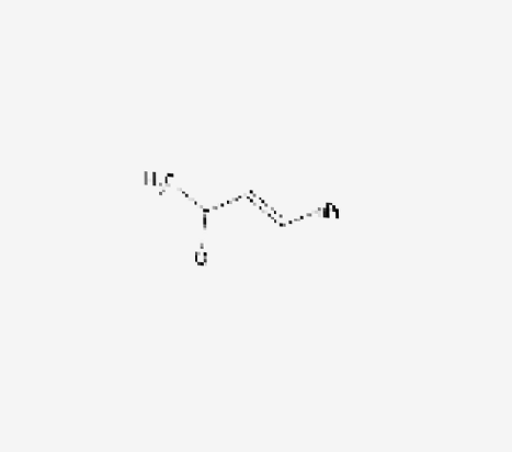 CCC/C=C/C(C)[O]